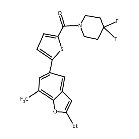 CCc1cc2cc(-c3ccc(C(=O)N4CCC(F)(F)CC4)s3)cc(C(F)(F)F)c2o1